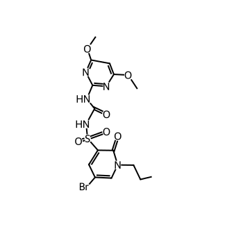 CCCn1cc(Br)cc(S(=O)(=O)NC(=O)Nc2nc(OC)cc(OC)n2)c1=O